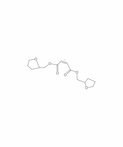 O=C(/C=C\C(=O)OCC1CCCO1)OCC1CCCO1